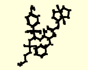 CC(C)(CCCN)CN(C[C@H](O)[C@H](Cc1ccccc1)NC(=O)O[C@H]1CO[C@H]2OCC[C@H]21)S(=O)(=O)c1ccc(N)cc1